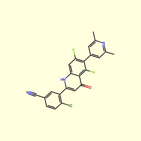 Cc1cc(-c2c(F)cc3[nH]c(-c4cc(C#N)ccc4Cl)cc(=O)c3c2F)cc(C)n1